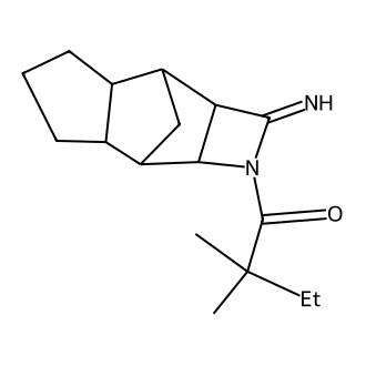 CCC(C)(C)C(=O)N1C(=N)C2C3CC(C4CCCC43)C21